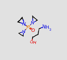 NCCCO.O=P(N1CC1)(N1CC1)N1CC1